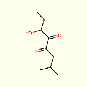 CCC(O)C(=O)C(=O)CC(C)C